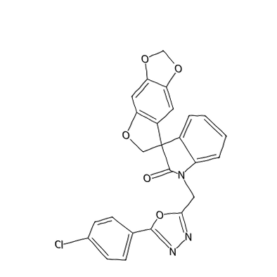 O=C1N(Cc2nnc(-c3ccc(Cl)cc3)o2)c2ccccc2C12COc1cc3c(cc12)OCO3